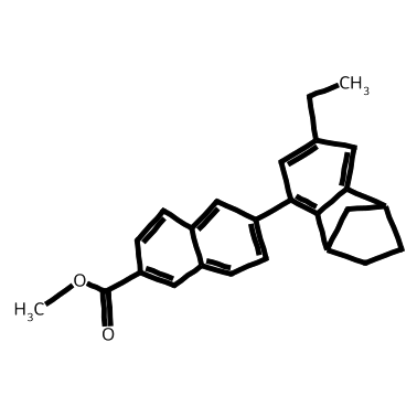 CCc1cc(-c2ccc3cc(C(=O)OC)ccc3c2)c2c(c1)C1CCC2C1